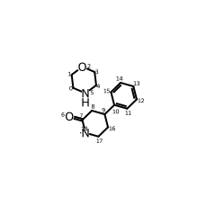 C1COCCN1.O=C1CC(c2ccccc2)CC[N]1